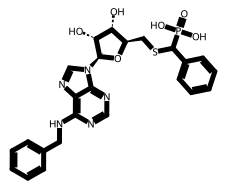 O=P(O)(O)C(SC[C@H]1O[C@@H](n2cnc3c(NCc4ccccc4)ncnc32)[C@H](O)[C@@H]1O)c1ccccc1